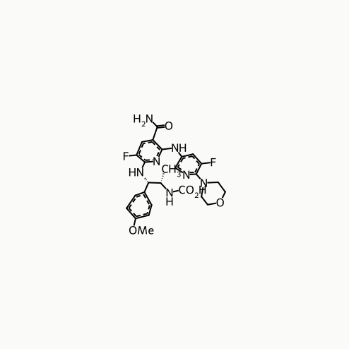 COc1ccc([C@H](Nc2nc(Nc3cnc(N4CCOCC4)c(F)c3)c(C(N)=O)cc2F)[C@H](C)NC(=O)O)cc1